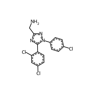 NCc1nc(-c2ccc(Cl)cc2Cl)n(-c2ccc(Cl)cc2)n1